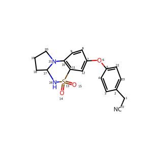 N#CCc1ccc(Oc2ccc3c(c2)S(=O)(=O)NC2CCCN32)cc1